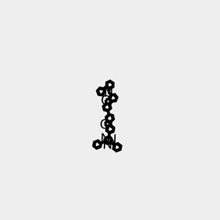 c1ccc(-c2nc(-c3ccccc3)nc(-c3ccc4c(c3)oc3cc(-c5ccc6oc7c(-n8c9ccccc9c9ccccc98)cccc7c6c5)ccc34)n2)cc1